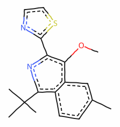 COc1c(-c2nccs2)nc(C(C)(C)C)c2ccc(C)cc12